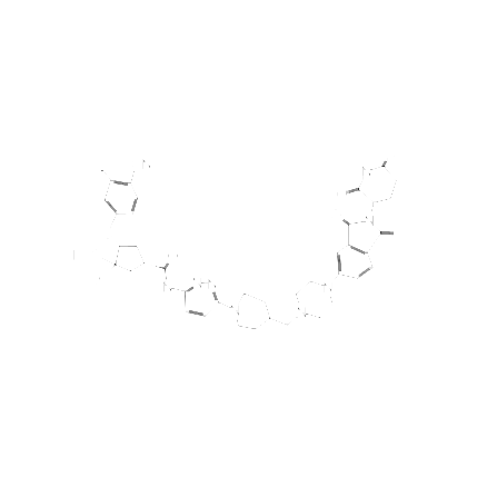 CC1(C)C[C@H](C(=O)Nc2ccc(N3CCC(CN4CCN(c5ccc6c(c5)C(=O)N(C5CCC(=O)NC5=O)C6=O)CC4)CC3)nn2)C[C@H]1Oc1ccc(C#N)c(Cl)c1